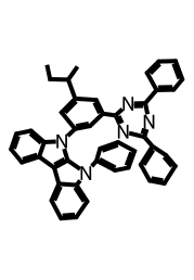 CCC(C)c1cc(-c2nc(-c3ccccc3)nc(-c3ccccc3)n2)cc(-n2c3ccccc3c3c4ccccc4n(-c4ccccc4)c32)c1